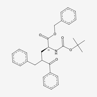 CC(C)(C)OC(=O)N[C@@H](CC(Cc1ccccc1)C(=O)c1ccccc1)C(=O)OCc1ccccc1